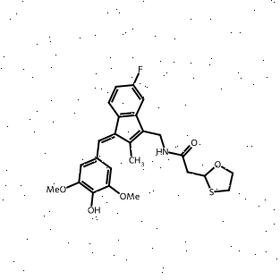 COc1cc(C=C2C(C)=C(CNC(=O)CC3OCCS3)c3cc(F)ccc32)cc(OC)c1O